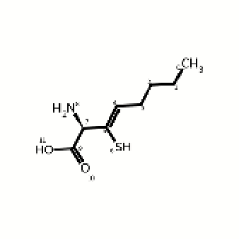 CCCCC=C(S)[C@H](N)C(=O)O